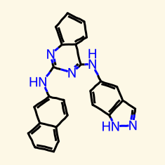 c1ccc2cc(Nc3nc(Nc4ccc5[nH]ncc5c4)c4ccccc4n3)ccc2c1